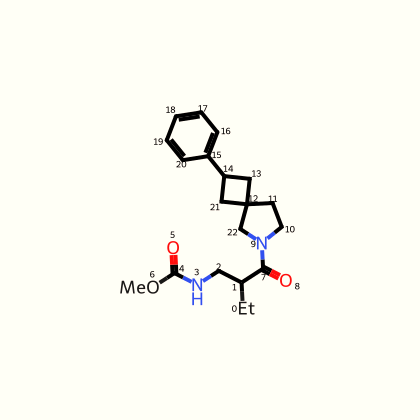 CCC(CNC(=O)OC)C(=O)N1CCC2(CC(c3ccccc3)C2)C1